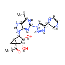 CNC(=O)[C@]12CC1[C@@H](n1cnc3c(NC)nc(-n4cc(-c5cnccn5)nn4)nc31)[C@H](O)[C@@H]2O